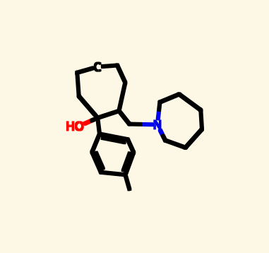 Cc1ccc(C2(O)CCCCCC2CN2CCCCCC2)cc1